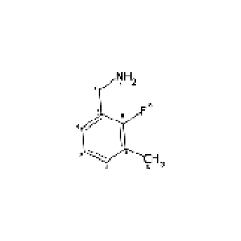 Cc1cccc(CN)c1F